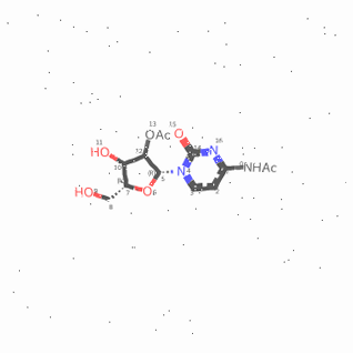 CC(=O)Nc1ccn([C@@H]2O[C@H](CO)C(O)C2OC(C)=O)c(=O)n1